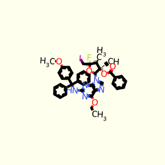 C#C[C@]1(OC(=O)c2ccccc2)C(n2cnc3c(OCC)nc(NC(c4ccccc4)(c4ccccc4)c4ccc(OC)cc4)nc32)O[C@](F)(CI)[C@H]1C